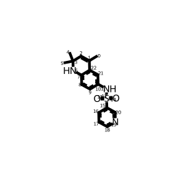 CC1=CC(C)(C)Nc2ccc(NS(=O)(=O)c3cccnc3)cc21